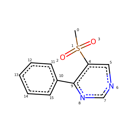 CS(=O)(=O)c1cncnc1-c1ccccc1